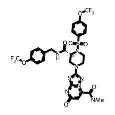 CNC(=O)c1cc(=O)nc2sc(N3CCN(S(=O)(=O)c4ccc(OC(F)(F)F)cc4)[C@@H](C(=O)NCc4ccc(OC(F)(F)F)cc4)C3)nn12